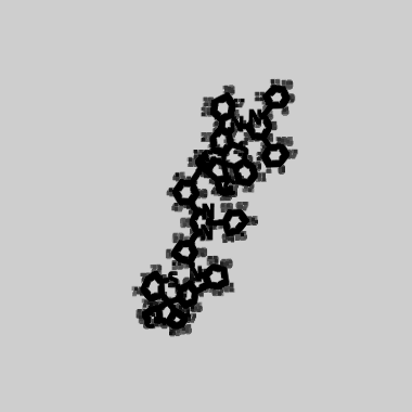 c1ccc(-c2cc(-c3ccccc3)nc(-n3c4ccccc4c4ccc5c(c43)Sc3ccccc3C53c4ccccc4-c4c(-c5cccc(-c6cc(-c7cccc(-n8c9ccccc9c9ccc%10c(c98)Sc8ccccc8C%108c9ccccc9-c9ccccc98)c7)nc(-c7ccccc7)n6)c5)cccc43)c2)cc1